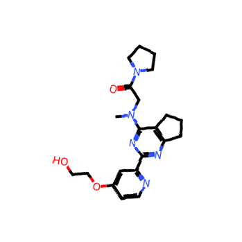 CN(CC(=O)N1CCCC1)c1nc(-c2cc(OCCO)ccn2)nc2c1CCC2